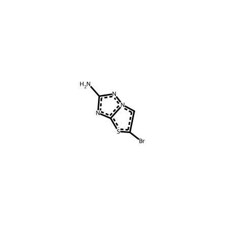 Nc1nc2sc(Br)cn2n1